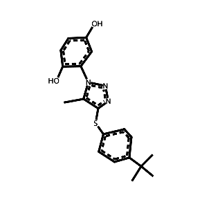 Cc1c(Sc2ccc(C(C)(C)C)cc2)nnn1-c1cc(O)ccc1O